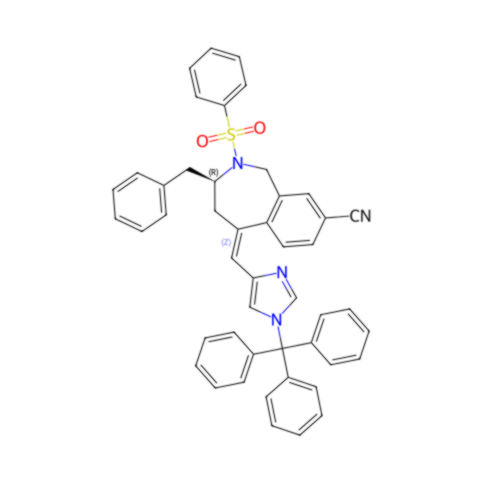 N#Cc1ccc2c(c1)CN(S(=O)(=O)c1ccccc1)[C@H](Cc1ccccc1)C/C2=C/c1cn(C(c2ccccc2)(c2ccccc2)c2ccccc2)cn1